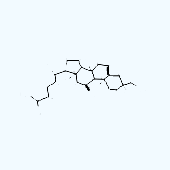 CC[C@]1(O)CC[C@@]2(C)C(=CC[C@@H]3C2C(=O)C[C@@]2(C)C3CC[C@@H]2[C@H](C)CCCC(C)C)C1